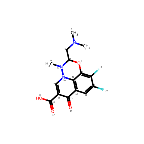 CN(C)CC1Oc2c(F)c(F)cc3c(=O)c(C(=O)O)cn(c23)N1C